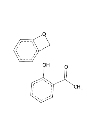 CC(=O)c1ccccc1O.c1ccc2c(c1)CO2